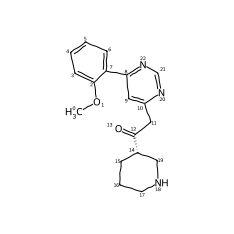 COc1ccccc1-c1cc(CC(=O)[C@H]2CCCNC2)ncn1